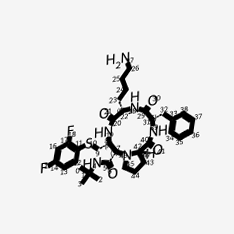 CC(C)(C)NC(=O)[C@@H]1[C@H](CSc2ccc(F)cc2F)NC(=O)[C@H](CCCCN)NC(=O)[C@H](Cc2ccccc2)NC(=O)[C@@H]2CCCN12